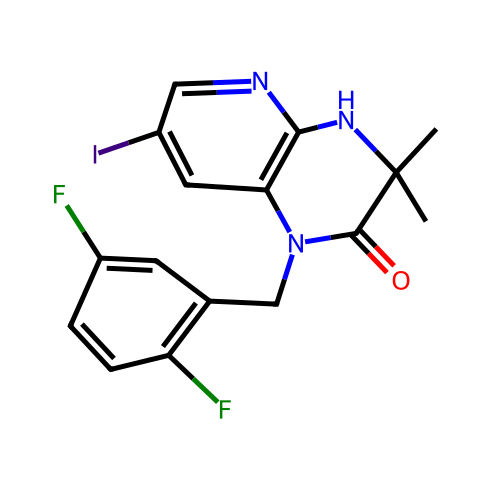 CC1(C)Nc2ncc(I)cc2N(Cc2cc(F)ccc2F)C1=O